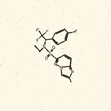 CCN([C@H](c1ccc(F)cc1)C(F)(F)F)S(=O)(=O)c1ccc2nc(C)cn2n1